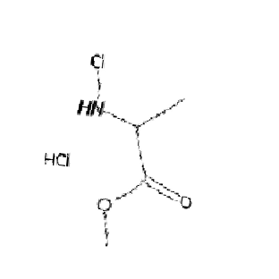 COC(=O)C(C)NCl.Cl